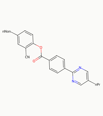 CCCCCCCCCc1ccc(OC(=O)c2ccc(-c3ncc(CCC)cn3)cc2)c(C#N)c1